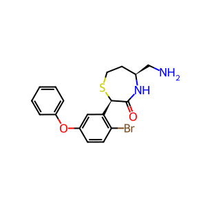 NC[C@@H]1CCS[C@H](c2cc(Oc3ccccc3)ccc2Br)C(=O)N1